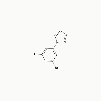 O=[N+]([O-])c1cc(I)cc(-n2cccn2)c1